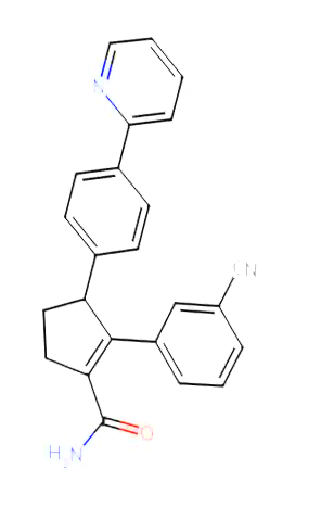 N#Cc1cccc(C2=C(C(N)=O)CCC2c2ccc(-c3ccccn3)cc2)c1